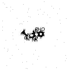 CC1(C)c2c(-c3noc(C4CC4)n3)ncn2-c2ccccc2N1C=O